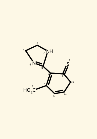 O=C(O)C1=C(C2=NCCN2)C(=S)CC=C1